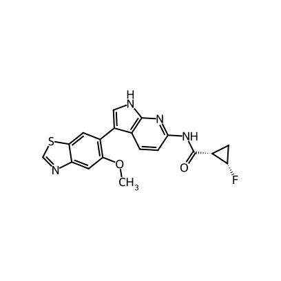 COc1cc2ncsc2cc1-c1c[nH]c2nc(NC(=O)[C@@H]3C[C@@H]3F)ccc12